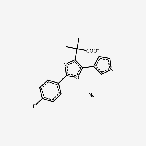 CC(C)(C(=O)[O-])c1nc(-c2ccc(F)cc2)oc1-c1ccsc1.[Na+]